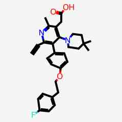 C#Cc1nc(C)c(CC(=O)O)c(N2CCC(C)(C)CC2)c1-c1ccc(OCCc2ccc(F)cc2)cc1